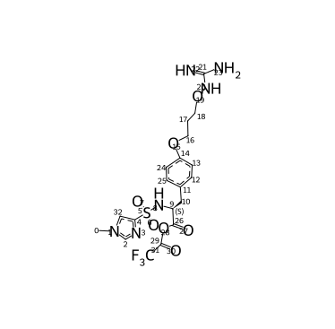 Cn1cnc(S(=O)(=O)N[C@@H](Cc2ccc(OCCCONC(=N)N)cc2)C(=O)OC(=O)C(F)(F)F)c1